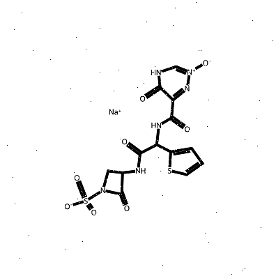 O=C(NC(C(=O)NC1CN(S(=O)(=O)[O-])C1=O)c1cccs1)c1n[n+]([O-])c[nH]c1=O.[Na+]